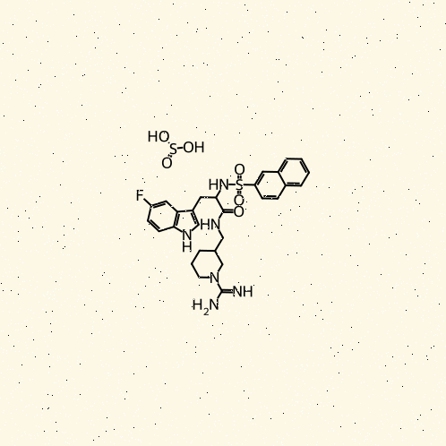 N=C(N)N1CCCC(CNC(=O)C(Cc2c[nH]c3ccc(F)cc23)NS(=O)(=O)c2ccc3ccccc3c2)C1.O=S(O)O